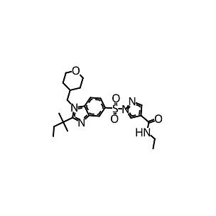 CCNC(=O)c1cnn(S(=O)(=O)c2ccc3c(c2)nc(C(C)(C)CC)n3CC2CCOCC2)c1